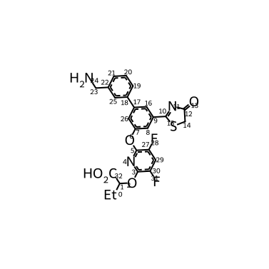 CCC(Oc1nc(Oc2cc(C3=NC(=O)CS3)cc(-c3cccc(CN)c3)c2)c(F)cc1F)C(=O)O